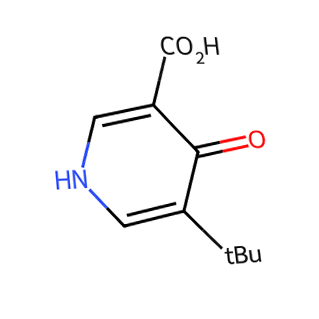 CC(C)(C)c1c[nH]cc(C(=O)O)c1=O